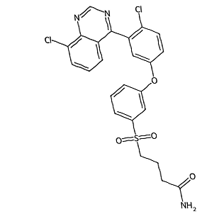 NC(=O)CCCS(=O)(=O)c1cccc(Oc2ccc(Cl)c(-c3ncnc4c(Cl)cccc34)c2)c1